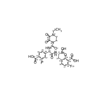 CCN1CCN(C(=O)NC(C(=O)N[C@H]2Cc3ccc(F)c(C(=O)O)c3OB2O)c2ccc(C(=O)O)c(F)c2)C(=O)C1=O